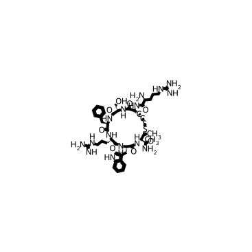 CC1(C)SSCC[C@H](NC(=O)[C@H](N)CCCNC(=N)N)C(=O)N[C@@H](CO)C(=O)N[C@H](Cc2ccccc2)C(=O)N[C@@H](CCCNC(=N)N)C(=O)N[C@@H](Cc2c[nH]c3ccccc23)C(=O)N[C@@H]1C(N)=O